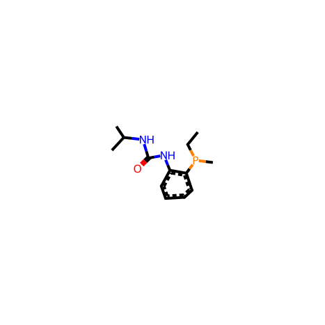 CCP(C)c1ccccc1NC(=O)NC(C)C